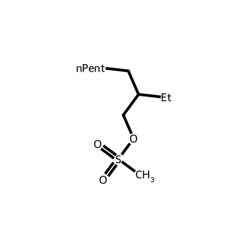 CCCCCCC(CC)COS(C)(=O)=O